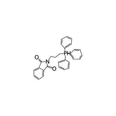 O=C1c2ccccc2C(=O)N1CCC[PH](c1ccccc1)(c1ccccc1)c1ccccc1